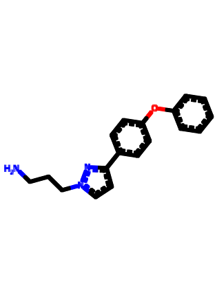 NCCCn1ccc(-c2ccc(Oc3ccccc3)cc2)n1